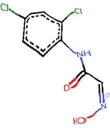 O=C(/C=N\O)Nc1ccc(Cl)cc1Cl